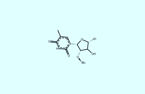 CC[C@H](C)O[C@H]1C(O)[C@@H](CC)O[C@H]1n1cc(C)c(=O)[nH]c1=O